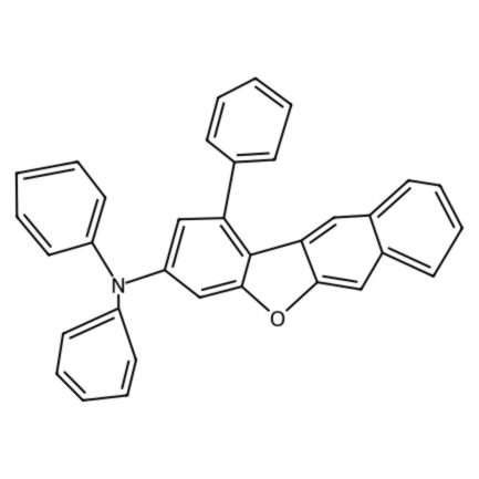 c1ccc(-c2cc(N(c3ccccc3)c3ccccc3)cc3oc4cc5ccccc5cc4c23)cc1